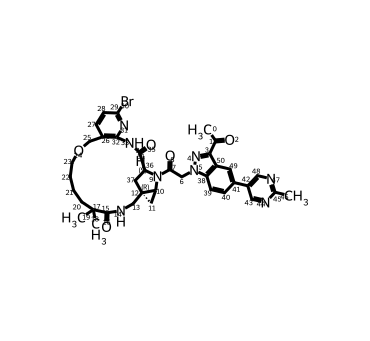 CC(=O)c1nn(CC(=O)N2C3C[C@@]34CNC(=O)C(C)(C)CCCCOCc3ccc(Br)nc3NC(=O)[C@@H]2C4)c2ccc(-c3cnc(C)nc3)cc12